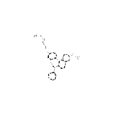 CCCCCCN=CCOc1ccc(-c2c(C(=O)c3ccccc3)ccc3cc(OCCCC)ccc23)cc1